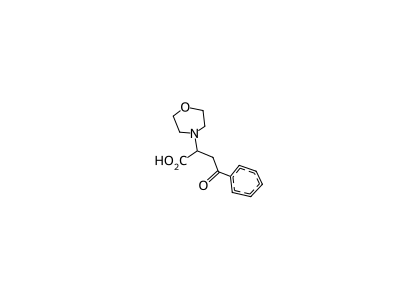 O=C(CC(C(=O)O)N1CCOCC1)c1ccccc1